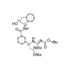 CN/C(=N\C(=O)OC(C)(C)C)N[C@H](CCOC)c1cccc(C(=O)N[C@@H]2c3ccccc3C[C@H]2O)c1